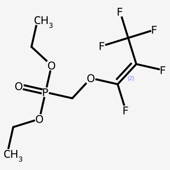 CCOP(=O)(CO/C(F)=C(/F)C(F)(F)F)OCC